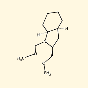 COCN1[C@H](COP)C[C@@H]2CCCC[C@@H]21